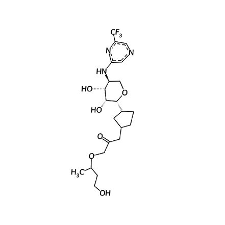 CC(CCO)OCC(=O)CC1CCC([C@H]2OC[C@H](Nc3cncc(C(F)(F)F)n3)[C@@H](O)[C@H]2O)C1